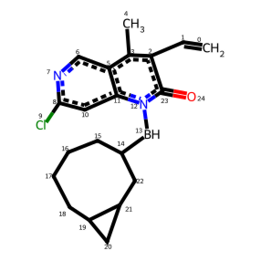 C=Cc1c(C)c2cnc(Cl)cc2n(BC2CCCCC3CC3C2)c1=O